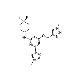 Cc1csc(-c2cc(OCc3cn(C)nn3)cc(NC3CCC(F)(F)CC3)n2)n1